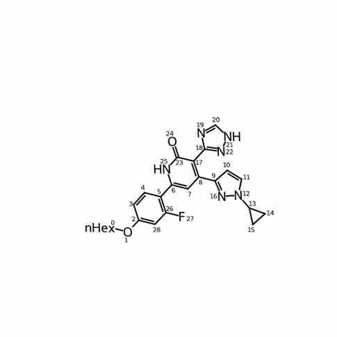 CCCCCCOc1ccc(-c2cc(-c3ccn(C4CC4)n3)c(-c3nc[nH]n3)c(=O)[nH]2)c(F)c1